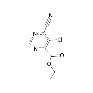 CCOC(=O)c1ncnc(C#N)c1Cl